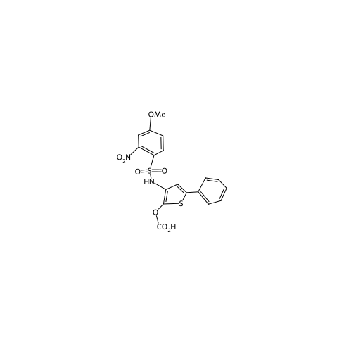 COc1ccc(S(=O)(=O)Nc2cc(-c3ccccc3)sc2OC(=O)O)c([N+](=O)[O-])c1